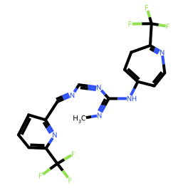 C\N=C(/N=C\N=C\c1cccc(C(F)(F)F)n1)NC1=CCC(C(F)(F)F)=NC=C1